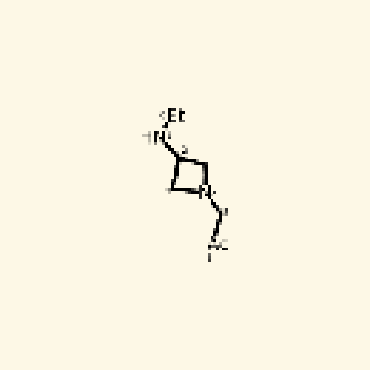 CCNC1CN(CC(C)=O)C1